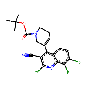 CC(C)(C)OC(=O)N1CCC=C(c2c(C#N)c(Cl)nc3c(F)c(Br)ccc23)C1